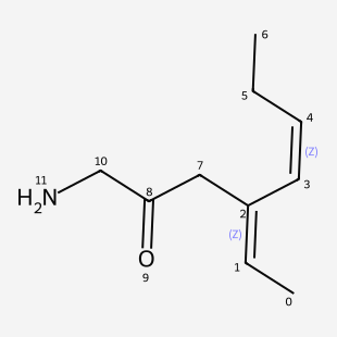 C/C=C(\C=C/CC)CC(=O)CN